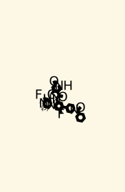 C[C@@H]1CN(c2cc(F)c(C3=CCN(C(=O)C4CCCCC4)CC3)cc2NC(=O)c2c[nH]c(=O)cc2C(F)(F)F)C[C@H](C)N1C